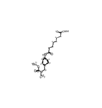 COC(=O)CCCCCCC(=O)Nc1ccc(CN(C)C(=O)OC(C)(C)C)cc1